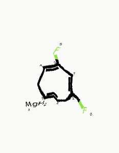 Fc1[c]ccc(F)c1.[MgH2]